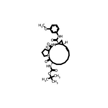 COc1cccc(NC(=O)[C@@]23C[C@H]2/C=C\CCCCC[C@H](NC(=O)OC(C)(C)C)C(=O)N2CCC[C@H]2C(=O)N3)c1